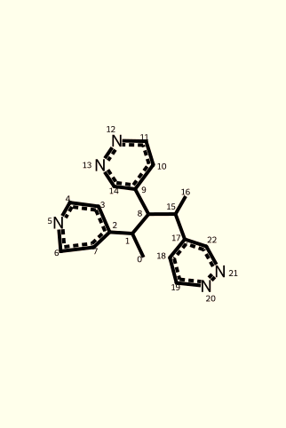 CC(c1ccncc1)C(c1ccnnc1)C(C)c1ccnnc1